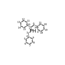 C(=C(/PCc1ccccc1)c1ccccc1)/c1ccccc1